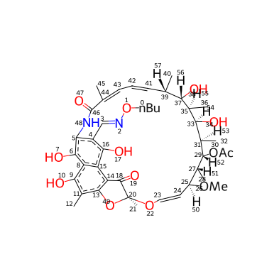 CCCCO/N=C/c1c2c(O)c3c(O)c(C)c4c(c3c1O)C(=O)[C@@](C)(O/C=C/[C@H](OC)[C@@H](C)[C@@H](OC(C)=O)[C@H](C)[C@H](O)[C@H](C)[C@@H](O)[C@@H](C)/C=C/C=C(/C)C(=O)N2)O4